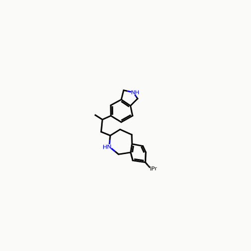 CC(C)c1ccc2c(c1)CNC(CC(C)c1ccc3c(c1)CNC3)CC2